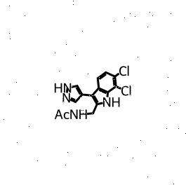 CC(=O)NCc1[nH]c2c(Cl)c(Cl)ccc2c1-c1cn[nH]c1